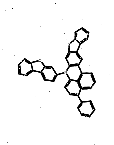 c1ccc(-c2ccc(N(c3ccc4c(c3)oc3ccccc34)c3cc4sc5ccccc5c4cc3-c3ccccc3)cc2)cc1